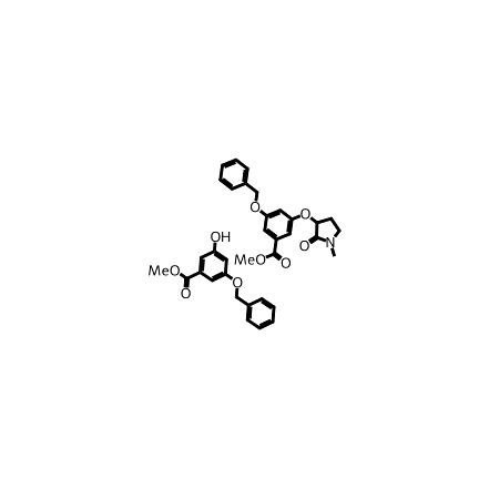 COC(=O)c1cc(O)cc(OCc2ccccc2)c1.COC(=O)c1cc(OCc2ccccc2)cc(OC2CCN(C)C2=O)c1